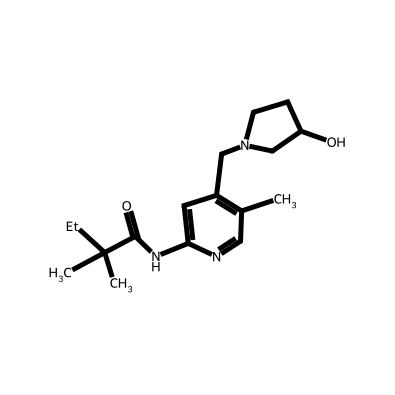 CCC(C)(C)C(=O)Nc1cc(CN2CCC(O)C2)c(C)cn1